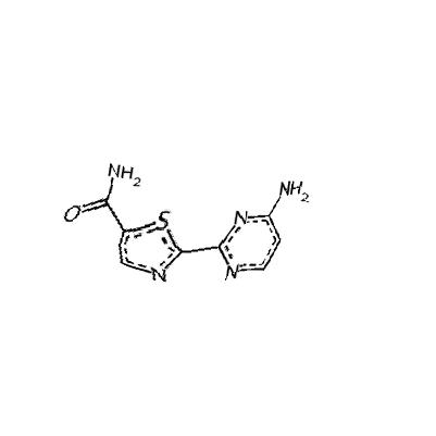 NC(=O)c1cnc(-c2nccc(N)n2)s1